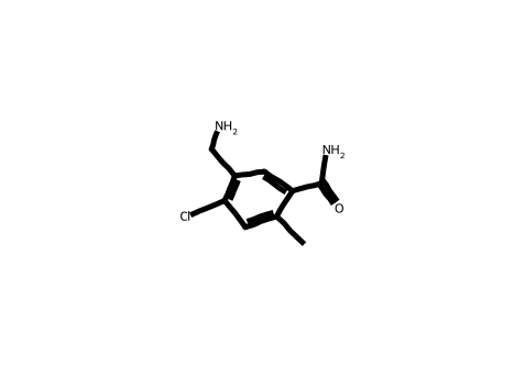 Cc1cc(Cl)c(CN)cc1C(N)=O